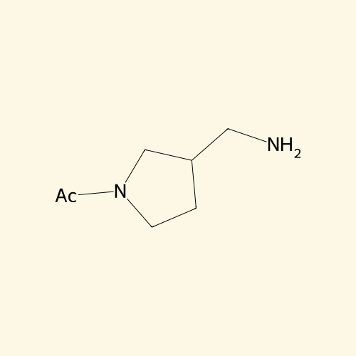 CC(=O)N1CCC(CN)C1